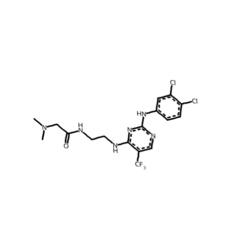 CN(C)CC(=O)NCCNc1nc(Nc2ccc(Cl)c(Cl)c2)ncc1C(F)(F)F